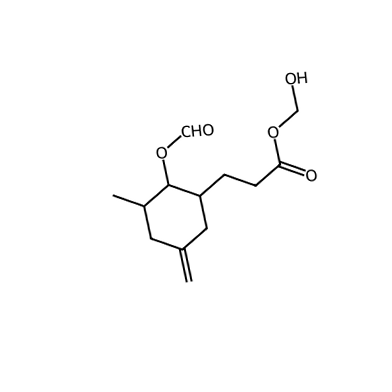 C=C1CC(C)C(OC=O)C(CCC(=O)OCO)C1